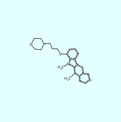 Cc1c2ccncc2cc2c3cccc(OCCCN4CCOCC4)c3n(C)c12